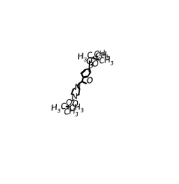 CC(C)(C)OC(=O)N1CCN(CC2COc3cc(B4OC(C)(C)C(C)(C)O4)ccc32)CC1